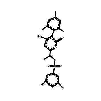 Cc1cc(C)c(-c2c(O)cc(C(C)CS(=O)(=O)c3cc(F)cc(F)c3)oc2=O)c(C)c1